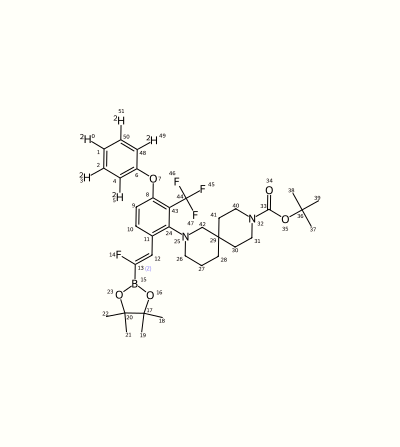 [2H]c1c([2H])c([2H])c(Oc2ccc(/C=C(\F)B3OC(C)(C)C(C)(C)O3)c(N3CCCC4(CCN(C(=O)OC(C)(C)C)CC4)C3)c2C(F)(F)F)c([2H])c1[2H]